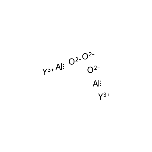 [Al].[Al].[O-2].[O-2].[O-2].[Y+3].[Y+3]